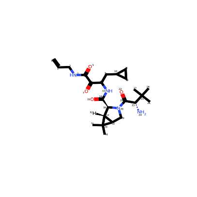 C=CCNC(=O)C(=O)C(CC1CC1)NC(=O)[C@@H]1[C@@H]2C(CN1C(=O)[C@@H](N)C(C)(C)C)C2(C)C